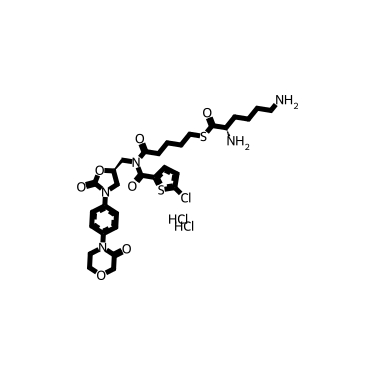 Cl.Cl.NCCCC[C@H](N)C(=O)SCCCCC(=O)N(C[C@H]1CN(c2ccc(N3CCOCC3=O)cc2)C(=O)O1)C(=O)c1ccc(Cl)s1